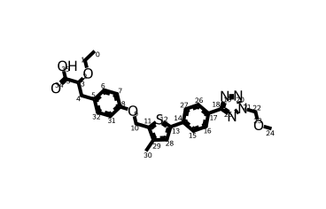 CCOC(Cc1ccc(OCc2sc(-c3ccc(-c4nnn(COC)n4)cc3)cc2C)cc1)C(=O)O